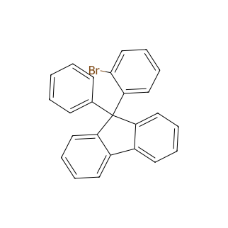 Brc1ccccc1C1(c2ccccc2)c2ccccc2-c2ccccc21